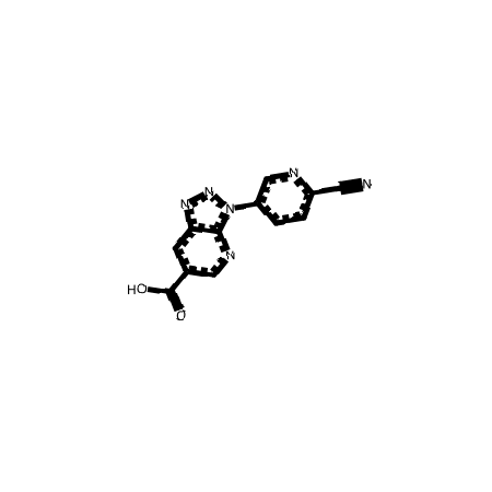 N#Cc1ccc(-n2nnc3cc(C(=O)O)cnc32)cn1